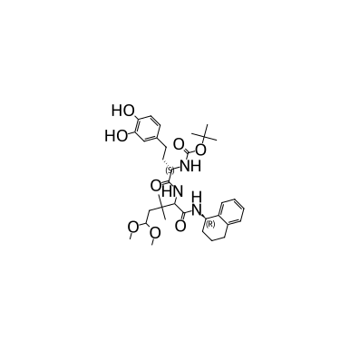 COC(CC(C)(C)C(NC(=O)[C@H](CCc1ccc(O)c(O)c1)NC(=O)OC(C)(C)C)C(=O)N[C@@H]1CCCc2ccccc21)OC